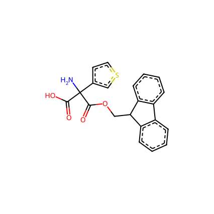 NC(C(=O)O)(C(=O)OCC1c2ccccc2-c2ccccc21)c1ccsc1